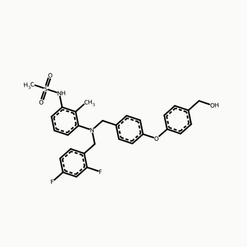 Cc1c(NS(C)(=O)=O)cccc1N(Cc1ccc(Oc2ccc(CO)cc2)cc1)Cc1ccc(F)cc1F